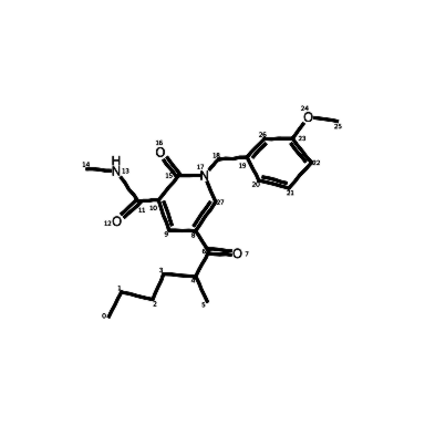 CCCCC(C)C(=O)c1cc(C(=O)NC)c(=O)n(Cc2cccc(OC)c2)c1